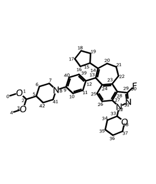 COC(OC)C1CCN(c2ccc(C3=C(C4CCCC4)CCCc4c3ccc3c4c(F)nn3C3CCCCO3)cc2)CC1